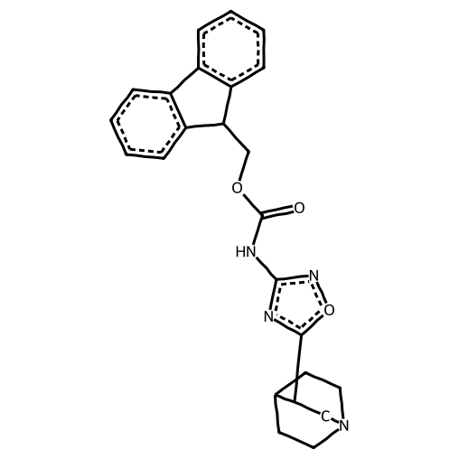 O=C(Nc1noc(C2CN3CCC2CC3)n1)OCC1c2ccccc2-c2ccccc21